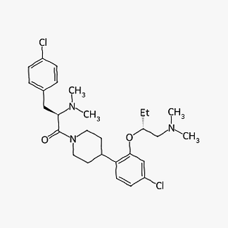 CC[C@H](CN(C)C)Oc1cc(Cl)ccc1C1CCN(C(=O)[C@@H](Cc2ccc(Cl)cc2)N(C)C)CC1